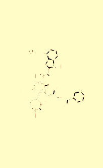 COc1cccc2[nH]c(C(=O)N[C@H]3CC(C)CN([C@@H](C[C@@H]4CCCNC4=O)C(=O)COC(=O)c4cccnc4)C3=O)cc12